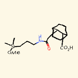 CO[Si](C)(C)CCCNC(=O)C1C2CCC(CC2)C1C(=O)O